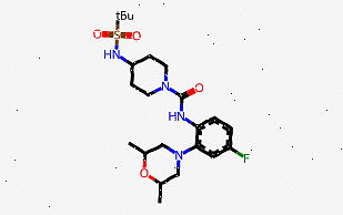 CC1CN(c2cc(F)ccc2NC(=O)N2CCC(NS(=O)(=O)C(C)(C)C)CC2)CC(C)O1